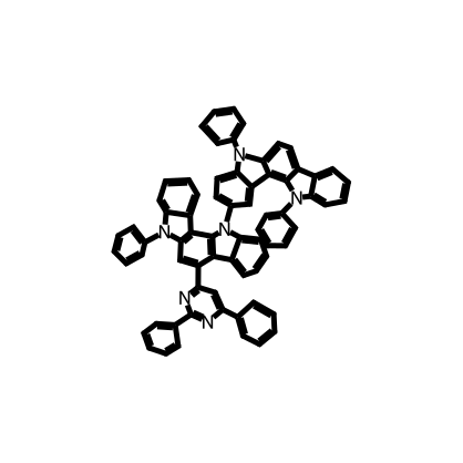 c1ccc(-c2cc(-c3cc4c(c5ccccc5n4-c4ccccc4)c4c3c3ccccc3n4-c3ccc4c(c3)c3c(ccc5c6ccccc6n(-c6ccccc6)c53)n4-c3ccccc3)nc(-c3ccccc3)n2)cc1